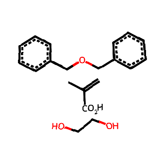 C=C(C)C(=O)O.OCCO.c1ccc(COCc2ccccc2)cc1